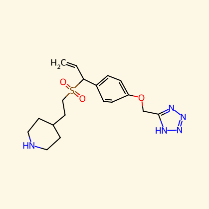 C=CC(c1ccc(OCc2nnn[nH]2)cc1)S(=O)(=O)CCC1CCNCC1